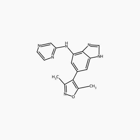 Cc1noc(C)c1-c1cc(Nc2cnccn2)c2nc[nH]c2c1